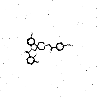 COc1ccc(C(=O)CN2CCC3(CC2)CN(C(=O)c2cccc(F)c2F)c2ccc(Cl)cc23)cc1